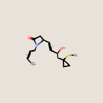 CCCC/C=C\CN1C(=O)CC1/C=C/C(O)CC1(SCC)CC1